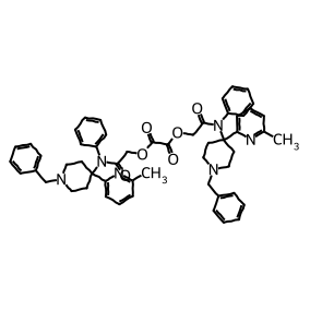 Cc1cccc(C2(N(C(=O)COC(=O)C(=O)OCC(=O)N(c3ccccc3)C3(c4cccc(C)n4)CCN(Cc4ccccc4)CC3)c3ccccc3)CCN(Cc3ccccc3)CC2)n1